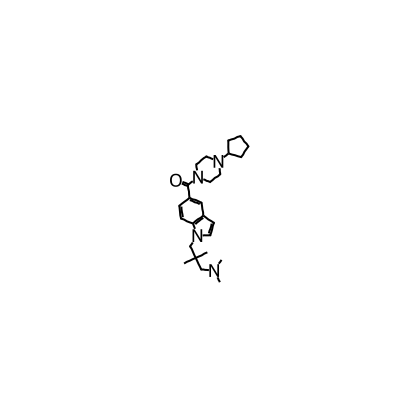 CN(C)CC(C)(C)Cn1ccc2cc(C(=O)N3CCN(C4CCCC4)CC3)ccc21